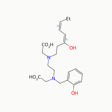 CC/C=C\C=C(\O)CCN(CCN(CC(=O)O)Cc1ccccc1O)CC(=O)O